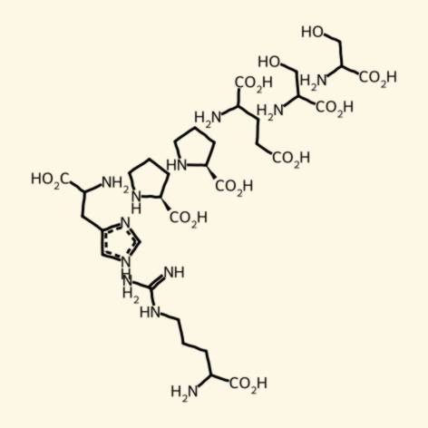 N=C(N)NCCCC(N)C(=O)O.NC(CCC(=O)O)C(=O)O.NC(CO)C(=O)O.NC(CO)C(=O)O.NC(Cc1c[nH]cn1)C(=O)O.O=C(O)[C@@H]1CCCN1.O=C(O)[C@@H]1CCCN1